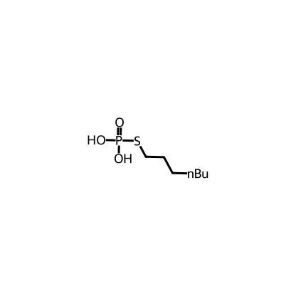 CCCCCCCSP(=O)(O)O